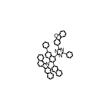 c1ccc(-c2ccc3c(-n4c5cc6ccccc6cc5c5ccc6ccccc6c54)c(-c4ccc5ccccc5c4)cc(-c4nc(-c5ccccc5)nc(-c5ccc6oc7ccccc7c6c5)n4)c3c2)cc1